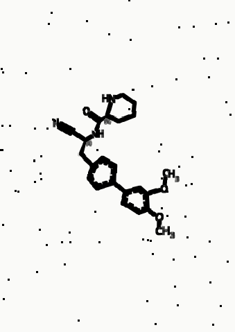 COc1ccc(-c2ccc(C[C@@H](C#N)NC(=O)[C@@H]3CCCCN3)cc2)cc1OC